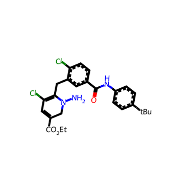 CCOC(=O)C1=CC(Cl)=C(Cc2cc(C(=O)Nc3ccc(C(C)(C)C)cc3)ccc2Cl)N(N)C1